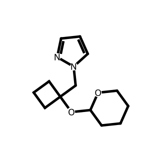 c1cnn(CC2(OC3CCCCO3)CCC2)c1